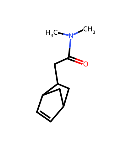 CN(C)C(=O)CC1CC2C=CC1C2